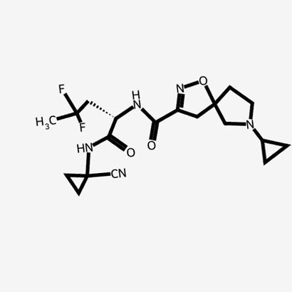 CC(F)(F)C[C@H](NC(=O)C1=NOC2(CCN(C3CC3)C2)C1)C(=O)NC1(C#N)CC1